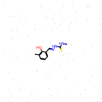 CNC(=S)N/N=C/c1cccc(C)c1O